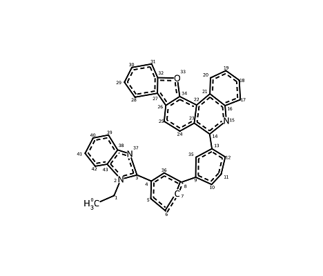 CCn1c(-c2cccc(-c3cccc(-c4nc5ccccc5c5c4ccc4c6ccccc6oc45)c3)c2)nc2ccccc21